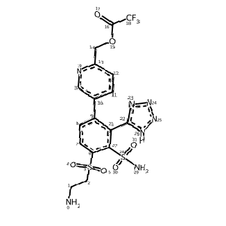 NCCS(=O)(=O)c1ccc(-c2ccc(COC(=O)C(F)(F)F)nc2)c(-c2nnn[nH]2)c1S(N)(=O)=O